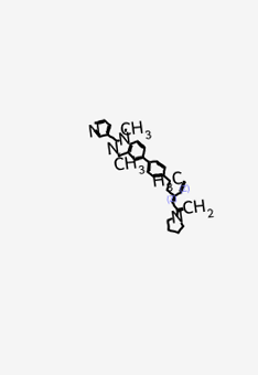 C=C(/C=C(\C=C/C)CCc1ccc(-c2ccc3c(c2)C(C)=NC(c2cccnc2)N3C)cc1)N1CCCC1